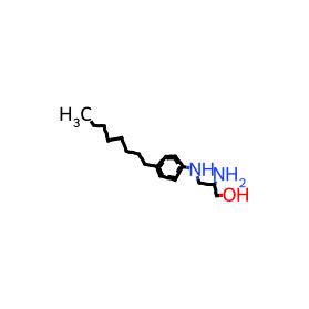 CCCCCCCCc1ccc(NCC(N)CO)cc1